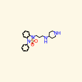 O=S1(=O)N(CCCNC2CCNCC2)c2ccccc2N1c1ccccc1